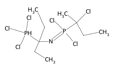 CCC(C)(Cl)P(Cl)(Cl)=NC(CC)(CC)[PH](Cl)(Cl)Cl